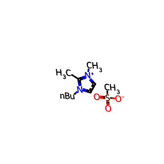 CCCCn1cc[n+](C)c1C.CS(=O)(=O)[O-]